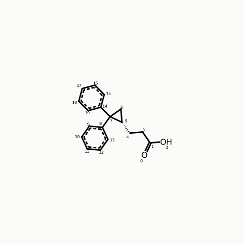 O=C(O)CC[C@H]1CC1(c1ccccc1)c1ccccc1